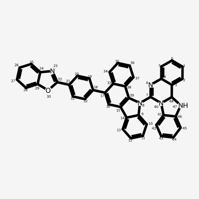 c1ccc2c(c1)N=C(n1c3ccccc3c3cc(-c4ccc(-c5nc6ccccc6o5)cc4)c4ccccc4c31)N1c3ccccc3NC21